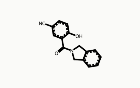 N#Cc1ccc(O)c(C(=O)N2Cc3ccccc3C2)c1